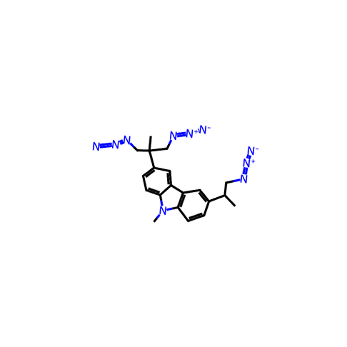 CC(CN=[N+]=[N-])c1ccc2c(c1)c1cc(C(C)(CN=[N+]=[N-])CN=[N+]=[N-])ccc1n2C